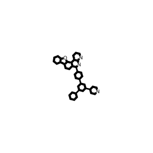 c1ccc(-c2cc(-c3ccncc3)cc(-c3ccc(-c4nc5ncccc5c5c4ccc4c6ccccc6oc45)cc3)c2)cc1